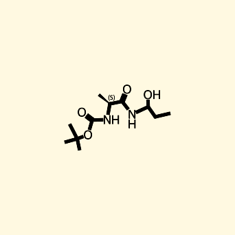 CCC(O)NC(=O)[C@H](C)NC(=O)OC(C)(C)C